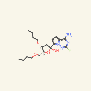 CCCCOC[C@H]1OC(O)(c2ccc3c(N)nc(F)nn23)C[C@@H]1OCCCC